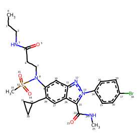 CCCNC(=O)CCN(c1cc2nn(-c3ccc(Br)cc3)c(C(=O)NC)c2cc1C1CC1)S(C)(=O)=O